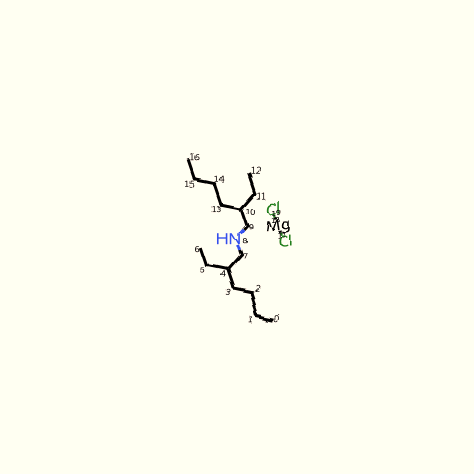 CCCCC(CC)CNCC(CC)CCCC.[Cl][Mg][Cl]